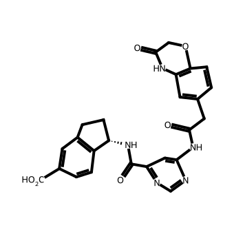 O=C(Cc1ccc2c(c1)NC(=O)CO2)Nc1cc(C(=O)N[C@H]2CCc3cc(C(=O)O)ccc32)ncn1